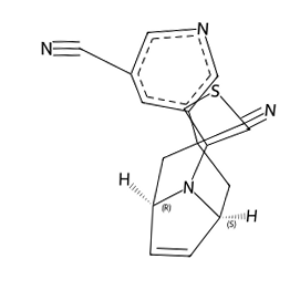 N#Cc1cncc(C2(C#N)C[C@H]3C=C[C@@H](C2)N3C2CSC2)c1